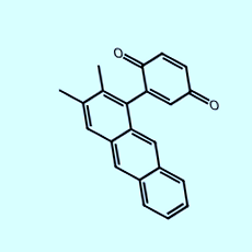 Cc1cc2cc3ccccc3cc2c(C2=CC(=O)C=CC2=O)c1C